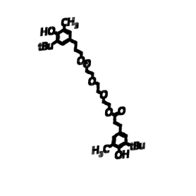 Cc1cc(CCCOOCCOCCOCCOC(=O)CCc2cc(C)c(O)c(C(C)(C)C)c2)cc(C(C)(C)C)c1O